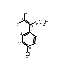 CC(C)=C(C(=O)O)c1ccc(Cl)cc1